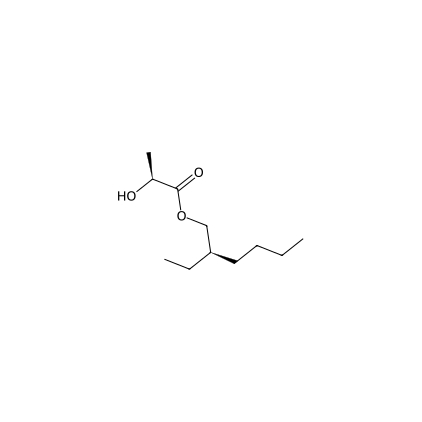 CCCC[C@@H](CC)COC(=O)[C@H](C)O